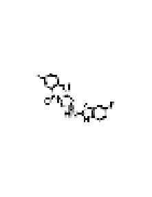 Cc1ccc(Cl)c(C(=O)N2CC[C@@H](Nc3nc4ccc(F)cc4s3)C2)c1